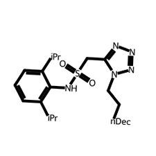 CCCCCCCCCCCCn1nnnc1CS(=O)(=O)Nc1c(C(C)C)cccc1C(C)C